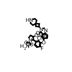 COC1CCN(S(N)(=O)=O)C1c1ccc(F)c(Oc2ccc3ncn(C4CC5(CCNCC5)C4)c(=O)c3c2)c1C#N